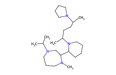 CC(C)N1CCCN(C)C(C2CCCCN2C(C)CCC(C)N2CCCC2)C1